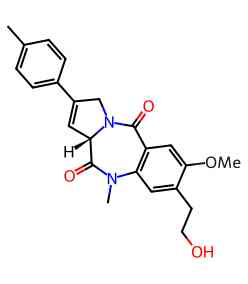 COc1cc2c(cc1CCO)N(C)C(=O)[C@@H]1C=C(c3ccc(C)cc3)CN1C2=O